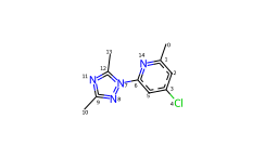 Cc1cc(Cl)cc(-n2nc(C)nc2C)n1